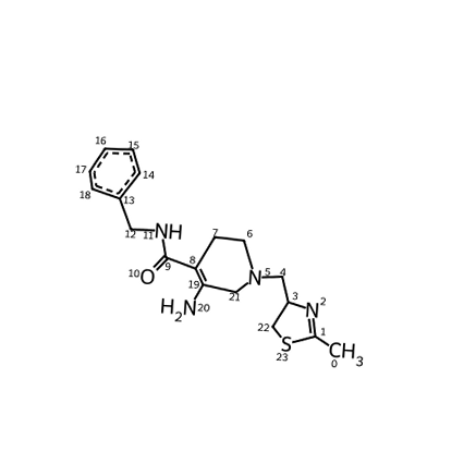 CC1=NC(CN2CCC(C(=O)NCc3ccccc3)=C(N)C2)CS1